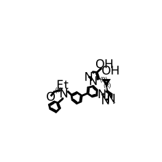 CC[C@H]1COc2ccccc2CN1Cc1cccc(-c2cccc(-n3ncc(C(O)O)c3[C@@H]3C[C@H]3c3cn(C)nn3)c2)c1